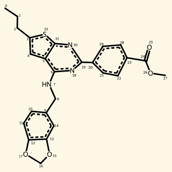 CCCc1cc2c(NCc3ccc4c(c3)OCO4)nc(-c3ccc(C(=O)OC)cc3)nc2s1